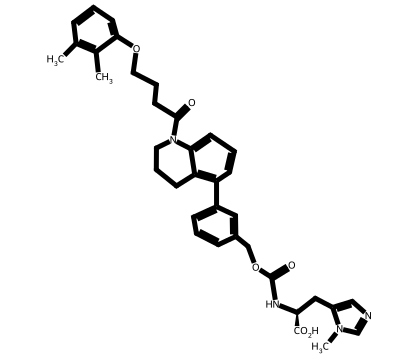 Cc1cccc(OCCCC(=O)N2CCCc3c(-c4cccc(COC(=O)N[C@@H](Cc5cncn5C)C(=O)O)c4)cccc32)c1C